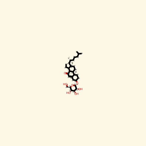 CC(C)CCC[C@@H](C)[C@H]1CCC2C3C(=O)C=C4CC(O[C@H]5O[C@H](CO)[C@@H](O)[C@H](O)[C@H]5O)CC[C@]4(C)C3CC[C@@]21C